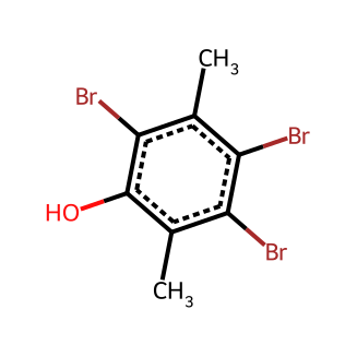 Cc1c(O)c(Br)c(C)c(Br)c1Br